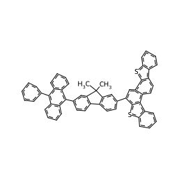 CC1(C)c2cc(-c3c4ccccc4c(-c4ccccc4)c4ccccc34)ccc2-c2ccc(-c3cc4c(ccc5c6ccccc6sc54)c4c3sc3ccccc34)cc21